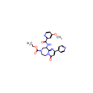 CCOC(=O)N1CCn2c(nc(-c3ccncc3)cc2=O)C(NC(=O)c2cc(OC)ccn2)C1